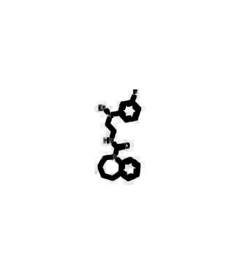 CCN(CCNC(=O)N1CCCCc2ccccc21)c1cccc(F)c1